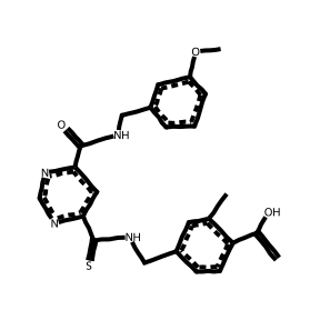 C=C(O)c1ccc(CNC(=S)c2cc(C(=O)NCc3cccc(OC)c3)ncn2)cc1C